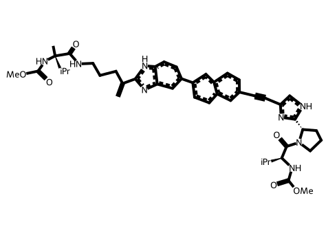 C=C(CCCNC(=O)[C@@](C)(NC(=O)OC)C(C)C)c1nc2cc(-c3ccc4cc(C#Cc5c[nH]c([C@@H]6CCCN6C(=O)[C@@H](NC(=O)OC)C(C)C)n5)ccc4c3)ccc2[nH]1